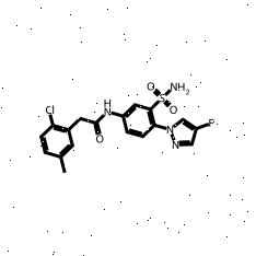 Cc1ccc(Cl)c(CC(=O)Nc2ccc(-n3cc(F)cn3)c(S(N)(=O)=O)c2)c1